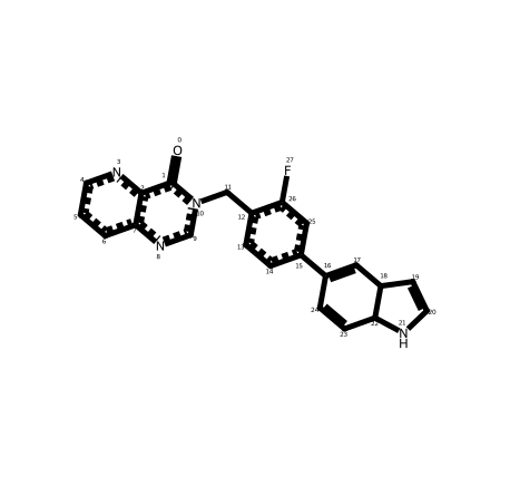 O=c1c2ncccc2ncn1Cc1ccc(C2=CC3C=CNC3C=C2)cc1F